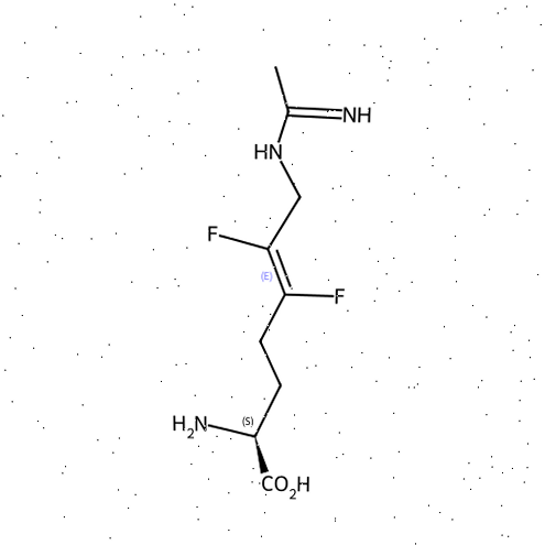 CC(=N)NC/C(F)=C(\F)CC[C@H](N)C(=O)O